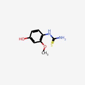 COc1cc(O)ccc1NC(N)=S